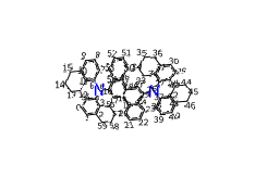 c1cc2c(c(N(c3cccc4c3CCCC4)c3cc4c5ccccc5c(N(c5cccc6c5CCCC6)c5cccc6c5CCCC6)cc4c4ccccc34)c1)CCCC2